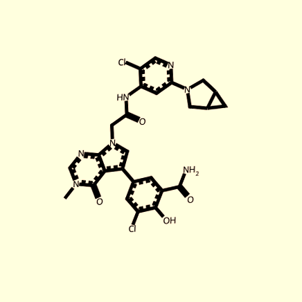 Cn1cnc2c(c(-c3cc(Cl)c(O)c(C(N)=O)c3)cn2CC(=O)Nc2cc(N3CC4CC4C3)ncc2Cl)c1=O